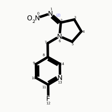 O=[N+]([O-])/N=C1/CCCN1Cc1ccc(F)nc1